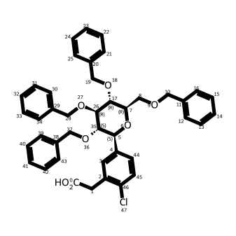 O=C(O)Cc1cc([C@@H]2O[C@H](COCc3ccccc3)[C@@H](OCc3ccccc3)[C@H](OCc3ccccc3)[C@H]2OCc2ccccc2)ccc1Cl